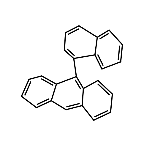 [c]1ccc(-c2c3ccccc3cc3ccccc23)c2ccccc12